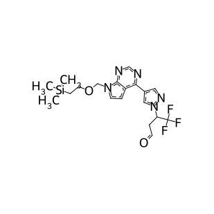 C[Si](C)(C)CCOCn1ccc2c(-c3cnn(C(CC=O)C(F)(F)F)c3)ncnc21